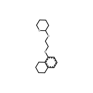 c1cc2c(c(OCCOC3CCCCO3)c1)CCCC2